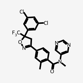 Cc1cc(C2=NOC(c3cc(Cl)cc(Cl)c3)(C(F)(F)F)C2)ccc1C(=O)N(C)c1cncnc1